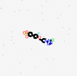 O=S1(=O)COc2cc(-c3ccc(OCC4CCN(c5ncnc(Cl)n5)CC4)c(F)c3)ccc21